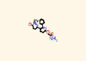 CC(C)n1nc(-c2ccc(OCC(N)=O)nc2-c2ccccc2)ccc1=O